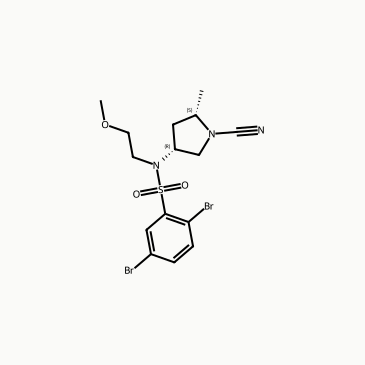 COCCN([C@@H]1C[C@H](C)N(C#N)C1)S(=O)(=O)c1cc(Br)ccc1Br